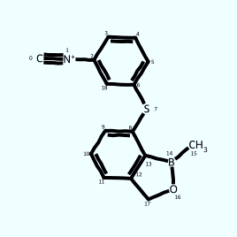 [C-]#[N+]c1cccc(Sc2cccc3c2B(C)OC3)c1